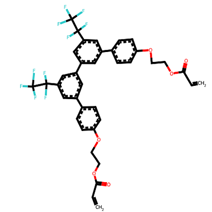 C=CC(=O)OCCOc1ccc(-c2cc(-c3cc(-c4ccc(OCCOC(=O)C=C)cc4)cc(C(F)(F)C(F)(F)F)c3)cc(C(F)(F)C(F)(F)F)c2)cc1